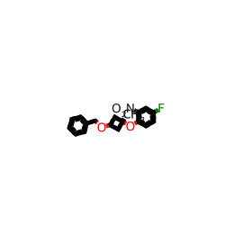 CC1(Oc2ccc(F)cc2[N+](=O)[O-])CC(OCc2ccccc2)C1